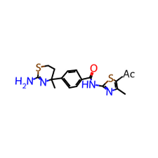 CC(=O)c1sc(NC(=O)c2ccc(C3(C)CCSC(N)=N3)cc2)nc1C